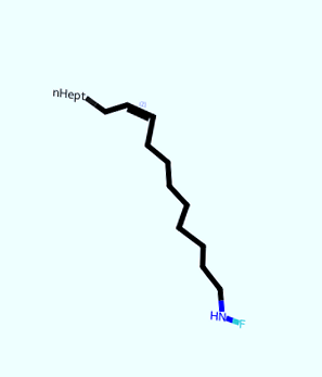 CCCCCCCC/C=C\CCCCCCCCNF